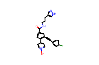 O=C(NCCCc1cn[nH]c1)c1ccc(-c2cc[n+]([O-])cc2)c(C#Cc2ccc(F)cc2)c1